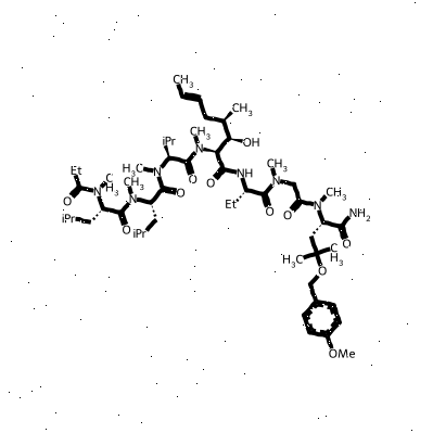 C/C=C/C[C@@H](C)[C@@H](O)[C@@H](C(=O)N[C@@H](CC)C(=O)N(C)CC(=O)N(C)[C@@H](CC(C)(C)OCc1ccc(OC)cc1)C(N)=O)N(C)C(=O)[C@H](C(C)C)N(C)C(=O)[C@H](CC(C)C)N(C)C(=O)[C@H](CC(C)C)N(C)C(=O)CC